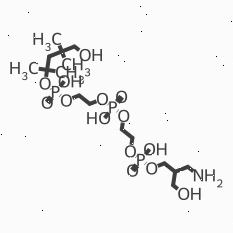 CC(C)(CO)CC(C)(C)OP(=O)(O)OCCOP(=O)(O)OCCOP(=O)(O)OCC(CN)CO